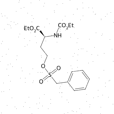 CCOC(=O)N[C@@H](CCOS(=O)(=O)Cc1ccccc1)C(=O)OCC